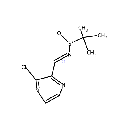 CC(C)(C)[S+]([O-])/N=C/c1nccnc1Cl